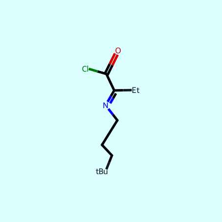 CC/C(=N\CCCC(C)(C)C)C(=O)Cl